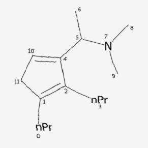 CCCC1=C(CCC)C(C(C)N(C)C)=CC1